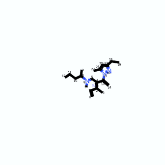 C=C/C(C)=C(\CN(C)C(C)CCC)C(=C)n1nc(CC)cc1C